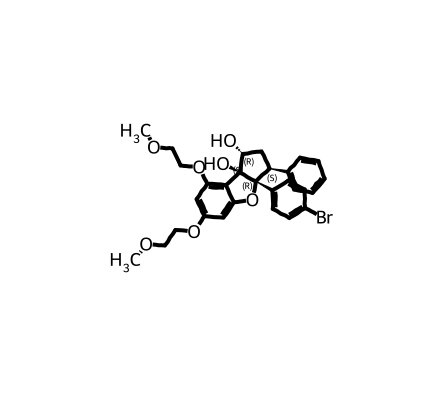 COCCOc1cc(OCCOC)c2c(c1)O[C@@]1(c3ccc(Br)cc3)[C@H](c3ccccc3)C[C@@H](O)[C@@]21O